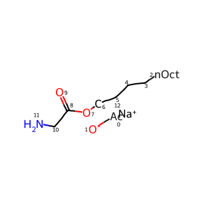 CC(=O)[O-].CCCCCCCCCCCCOC(=O)CN.[Na+]